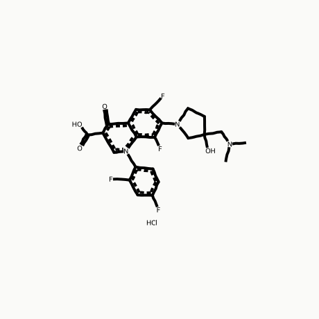 CN(C)CC1(O)CCN(c2c(F)cc3c(=O)c(C(=O)O)cn(-c4ccc(F)cc4F)c3c2F)C1.Cl